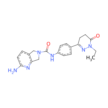 CCN1N=C(c2ccc(NC(=O)N3Cc4ccc(N)nc4C3)cc2)CCC1=O